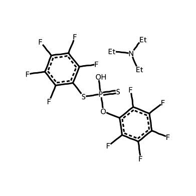 CCN(CC)CC.OP(=S)(Oc1c(F)c(F)c(F)c(F)c1F)Sc1c(F)c(F)c(F)c(F)c1F